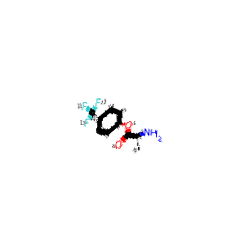 C[C@@H](N)C(=O)O[C@H]1CC[C@H](C(F)(F)F)CC1